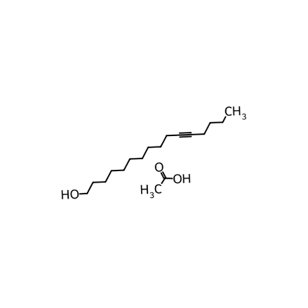 CC(=O)O.CCCCC#CCCCCCCCCCCO